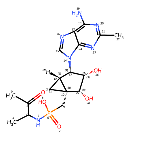 CC(=O)C(C)NP(=O)(O)C[C@]12C[C@@H]1[C@@H](n1cnc3c(N)nc(C)nc31)[C@H](O)[C@@H]2O